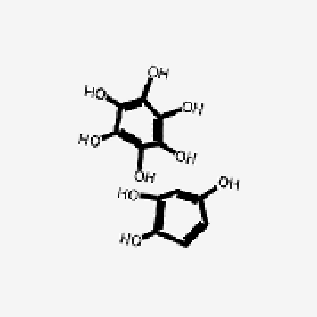 Oc1c(O)c(O)c(O)c(O)c1O.Oc1ccc(O)c(O)c1